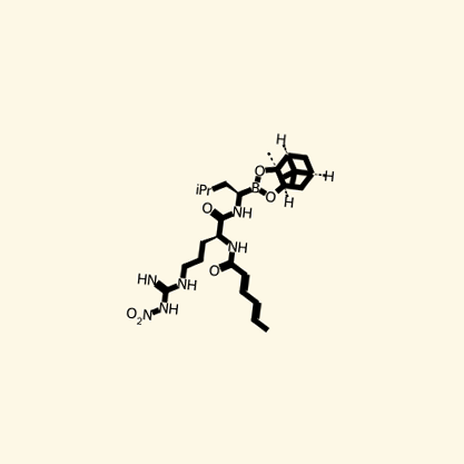 C/C=C/C=C/C(=O)N[C@@H](CCCNC(=N)N[N+](=O)[O-])C(=O)N[C@@H](CC(C)C)B1O[C@@H]2C[C@@H]3C[C@@H](C3(C)C)[C@]2(C)O1